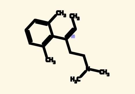 C/C=C(/CCN(C)C)c1c(C)cccc1C